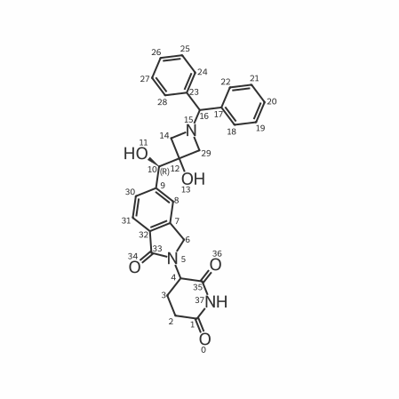 O=C1CCC(N2Cc3cc([C@@H](O)C4(O)CN(C(c5ccccc5)c5ccccc5)C4)ccc3C2=O)C(=O)N1